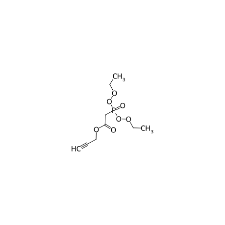 C#CCOC(=O)CP(=O)(OOCC)OOCC